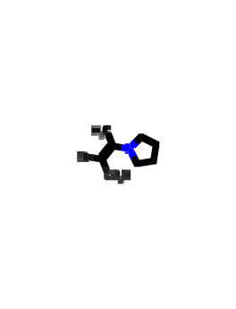 CC/C(C(=O)O)=C(\C)N1CCCC1